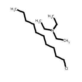 CCCCCCCCCCCl.CCN(CC)CC